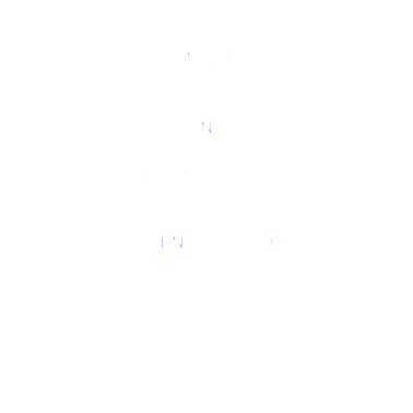 Cc1cc(Oc2ccccc2)c(N)c(=O)n1CC(=O)O